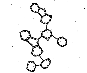 c1ccc(-c2nc(-c3ccc4oc5ccccc5c4c3)nc(-n3c4ccccc4c4ccc(-c5ccccc5-c5ccccc5)cc43)n2)cc1